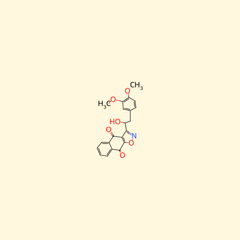 COc1ccc(CC(O)c2noc3c2C(=O)c2ccccc2C3=O)cc1OC